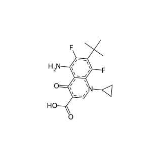 CC(C)(C)c1c(F)c(N)c2c(=O)c(C(=O)O)cn(C3CC3)c2c1F